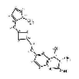 C[C@H](C(=O)O)[C@@H](O)c1cccc(OCC2CC(Oc3ccnn3C)C2)c1